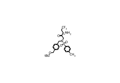 Cc1ccc(S(=O)(=O)N(CC(=O)[C@@H](N)CC(F)(F)F)Cc2ccc(COC(C)(C)C)cc2)cc1